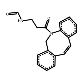 O=CNCCC(=O)N1Cc2ccccc2/C=C\c2ccccc21